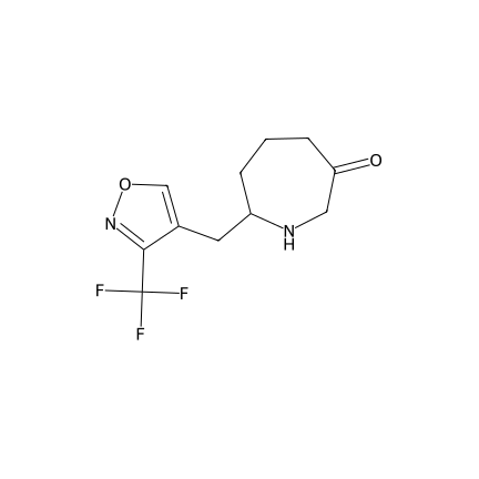 O=C1CCCC(Cc2conc2C(F)(F)F)NC1